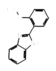 COc1[c]cccc1-c1nc2ccccc2[nH]1